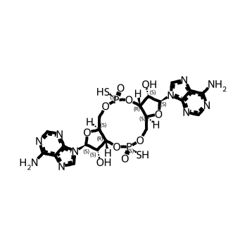 Nc1ncnc2c1ncn2[C@H]1O[C@H]2CO[P@](=O)(S)O[C@@H]3[C@H](O)[C@@H](n4cnc5c(N)ncnc54)O[C@H]3CO[P@](=O)(S)O[C@@H]2[C@@H]1O